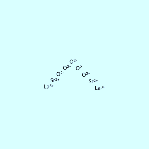 [La+3].[La+3].[O-2].[O-2].[O-2].[O-2].[O-2].[Sr+2].[Sr+2]